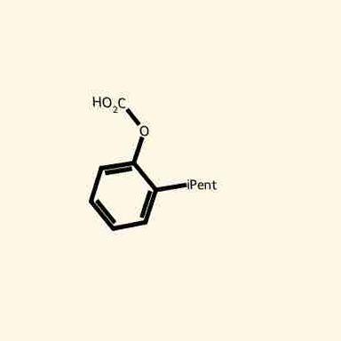 CCCC(C)c1ccccc1OC(=O)O